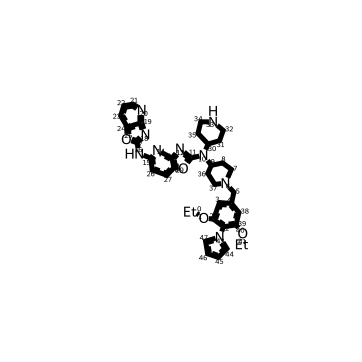 CCOc1cc(CN2CCC(N(c3nc4nc(Nc5nc6ncccc6o5)ccc4o3)C3CCNCC3)CC2)cc(OCC)c1-n1cccc1